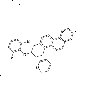 C1=CCOC=C1.Cc1cccc(Br)c1OC1CCc2c(ccc3c2ccc2ccccc23)C1